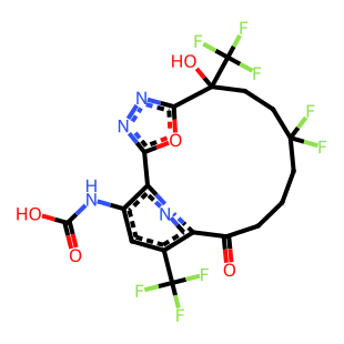 O=C(O)Nc1cc(C(F)(F)F)c2nc1-c1nnc(o1)C(O)(C(F)(F)F)CCC(F)(F)CCCC2=O